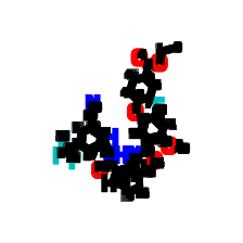 CCOC(=O)[C@H]1CC[C@@H](Oc2cc(C(=O)N[C@@H]3[C@H]4CC[C@H](C4)[C@@H]3C(=O)Nc3cc(C#N)cc(C(F)(F)F)c3)c(OC)cc2F)CC1